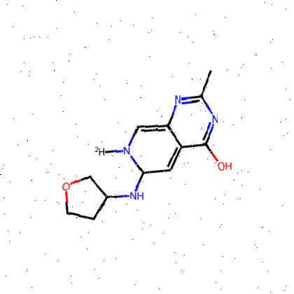 [2H]N1C=c2nc(C)nc(O)c2=CC1NC1CCOC1